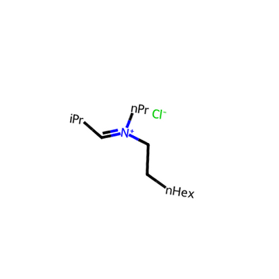 CCCCCCCC[N+](=CC(C)C)CCC.[Cl-]